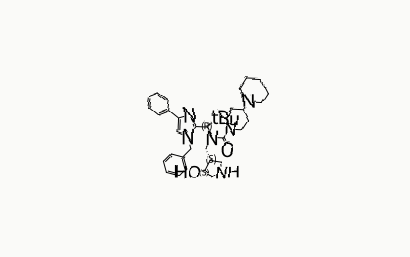 CC(C)(C)[C@H](c1nc(-c2ccccc2)cn1Cc1ccccc1)N(C[C@@H]1CNC[C@H]1O)C(=O)N1CCC(N2CCCCC2)CC1